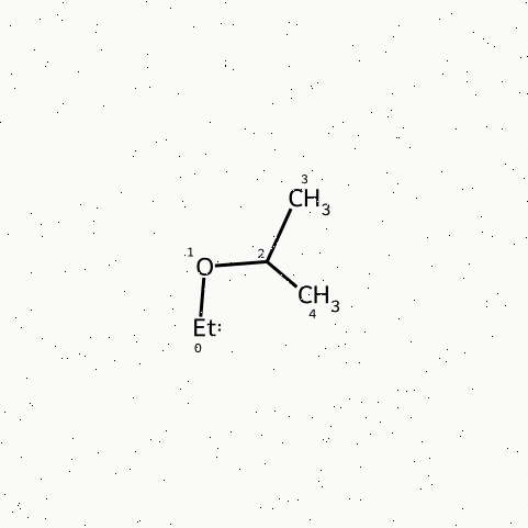 C[C]OC(C)C